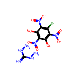 N=C(NN)NN.O=[N+]([O-])c1c(O)c([N+](=O)[O-])c(Br)c([N+](=O)[O-])c1O